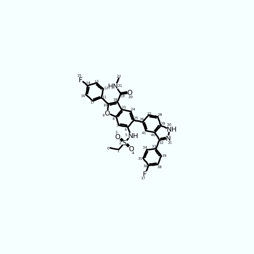 CCS(=O)(=O)Nc1cc2oc(-c3ccc(F)cc3)c(C(=O)NC)c2cc1-c1ccc2[nH]nc(-c3ccc(F)cc3)c2c1